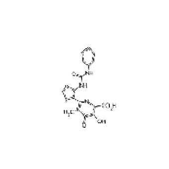 Cn1c(-c2sccc2NC(=O)Nc2ccccc2)nc(C(=O)O)c(O)c1=O